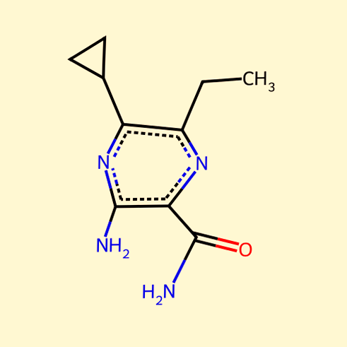 CCc1nc(C(N)=O)c(N)nc1C1CC1